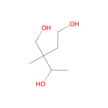 CC(O)C(C)(CO)CCO